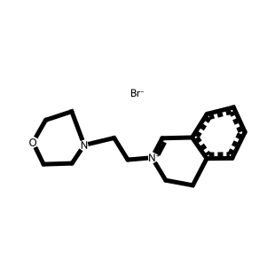 C1=[N+](CCN2CCOCC2)CCc2ccccc21.[Br-]